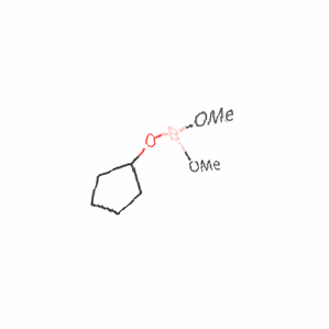 COB(OC)OC1CCCC1